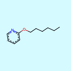 CCCCCCOc1cc[c]cn1